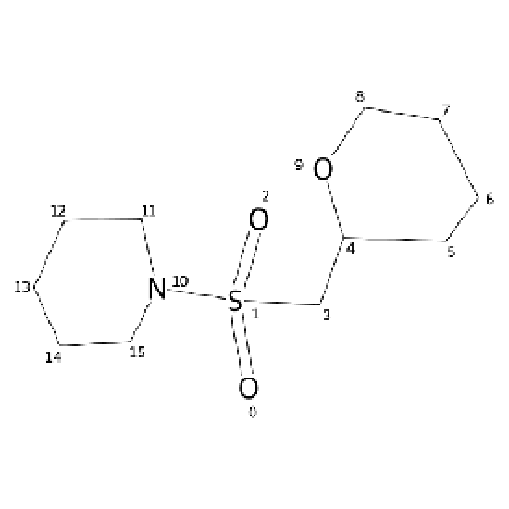 O=S(=O)(CC1CCCCO1)N1CCCCC1